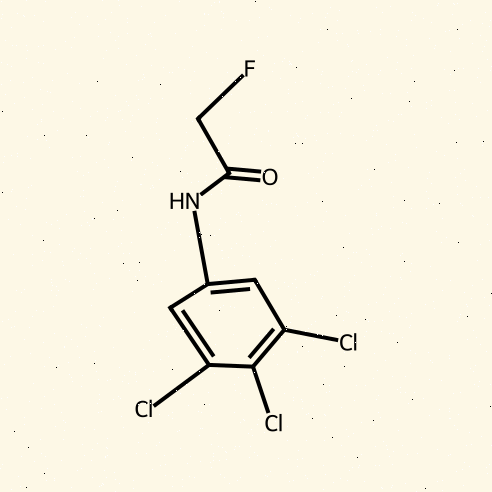 O=C(CF)Nc1cc(Cl)c(Cl)c(Cl)c1